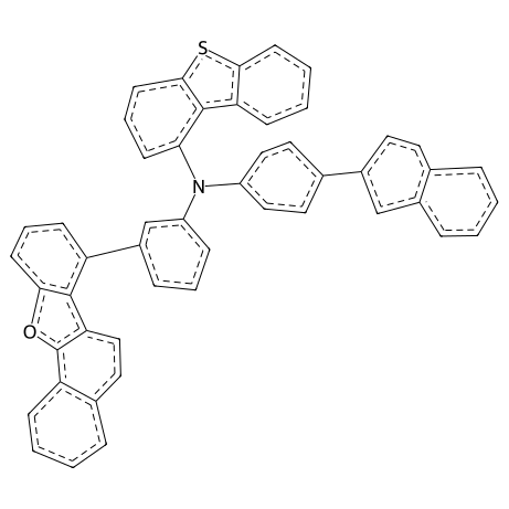 c1cc(-c2cccc3oc4c5ccccc5ccc4c23)cc(N(c2ccc(-c3ccc4ccccc4c3)cc2)c2cccc3sc4ccccc4c23)c1